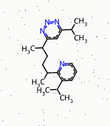 CC(C)c1cc(C(C)CCC(C)c2ncccc2C(C)C)nnn1